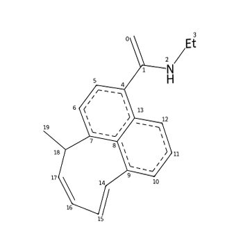 C=C(NCC)c1ccc2c3c(cccc13)/C=C/C=CC2C